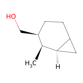 C[C@H]1[C@@H](CO)CCC2C[C@H]21